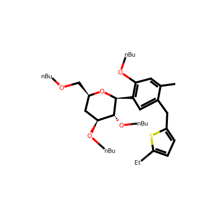 CCCCOC[C@@H]1C[C@H](OCCCC)[C@@H](OCCCC)[C@H](c2cc(Cc3ccc(CC)s3)c(C)cc2OCCCC)O1